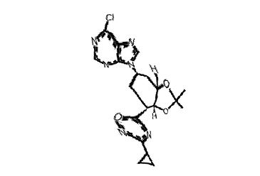 CC1(C)O[C@@H]2[C@H](O1)[C@@H](c1nc(C3CC3)no1)C[C@H]2n1cnc2c(Cl)ncnc21